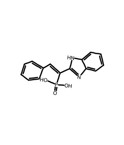 O=P(O)(O)C(=Cc1ccccc1)c1nc2ccccc2[nH]1